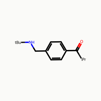 CC(C)C(=O)c1ccc(CNC(C)(C)C)cc1